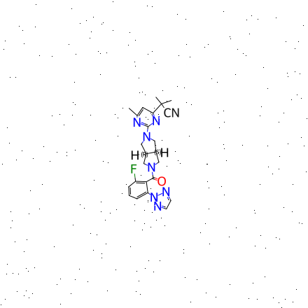 Cc1cc(C(C)(C)C#N)nc(N2C[C@H]3CN(C(=O)c4c(F)cccc4-n4nccn4)C[C@H]3C2)n1